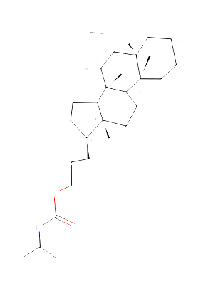 CC[C@H]1[C@@H](O)[C@@H]2[C@H](CC[C@]3(C)[C@@H](CCCOC(=O)NC(C)C)CC[C@@H]23)[C@@]2(C)CC[C@@H](O)C[C@@H]12